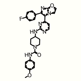 COc1ccc(NC(=O)N2CCC(Nc3nccc(-c4c(-c5ccc(F)cc5)nc5occn45)n3)CC2)cc1